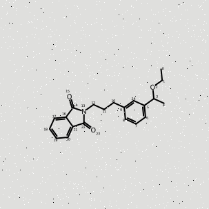 CCOC(C)c1cccc(CCCN2C(=O)c3ccccc3C2=O)c1